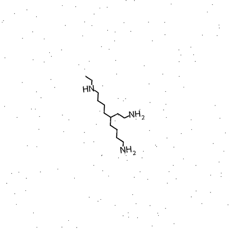 CCNCCCCC(CCN)CCCCN